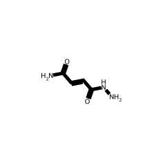 NNC(=O)C=CC(N)=O